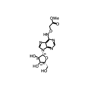 COC(=O)CONc1ncnc2c1ncn2[C@@H]1O[C@H](CO)[C@@H](O)[C@H]1O